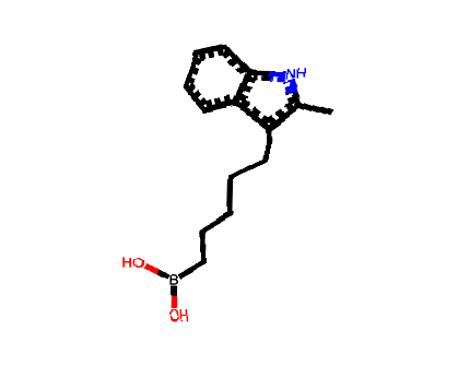 Cc1[nH]c2ccccc2c1CCCCCB(O)O